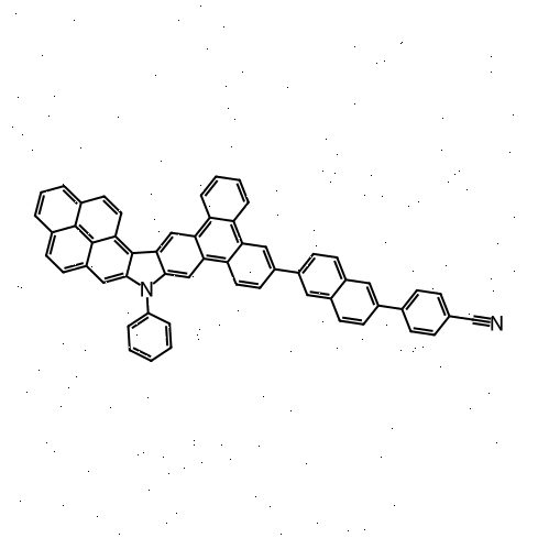 N#Cc1ccc(-c2ccc3cc(-c4ccc5c(c4)c4ccccc4c4cc6c7c8ccc9cccc%10ccc(cc7n(-c7ccccc7)c6cc54)c8c%109)ccc3c2)cc1